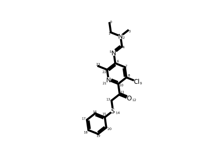 CCN(C)C=Nc1cc(Cl)c(C(=O)CSc2ccccc2)nc1C